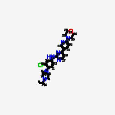 CC(C)N1CC2CC1CN2c1ccc(Nc2nccc(-c3ccc(N4CCOCC4)nc3)n2)cc1Cl